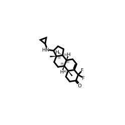 C[C@]12CCC(=O)C(F)(F)C1=CC[C@@H]1[C@H]2CC[C@]2(C)C(NC3CC3)CC[C@@H]12